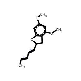 C/C=C/C=C/C1Cc2c(OC)cc(OC)cc2O1